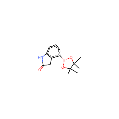 CC1(C)OB(c2cccc3c2CC(=O)N3)OC1(C)C